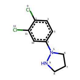 Clc1ccc(N2CCCN2)cc1Cl